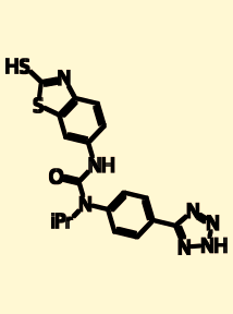 CC(C)N(C(=O)Nc1ccc2nc(S)sc2c1)c1ccc(-c2nn[nH]n2)cc1